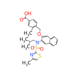 Cc1csc(S(=O)(=O)N(CC(C)C)c2cc3ccccc3cc2OCc2ccc(C(=O)O)cc2C)n1